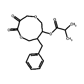 CC(C)C(=O)OC1COCC(=O)C(=O)OCC1Cc1ccccc1